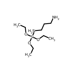 CCO[Si](OCC)(OCC)[SiH2]CCCN